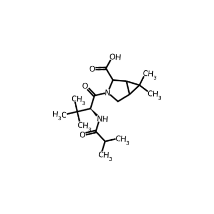 CC(C)C(=O)N[C@H](C(=O)N1CC2C(C1C(=O)O)C2(C)C)C(C)(C)C